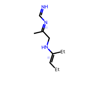 CC/C=C(\CC)NC/C(C)=N/C=N